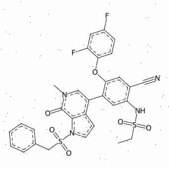 CCS(=O)(=O)Nc1cc(-c2cn(C)c(=O)c3c2ccn3S(=O)(=O)Cc2ccccc2)c(Oc2ccc(F)cc2F)cc1C#N